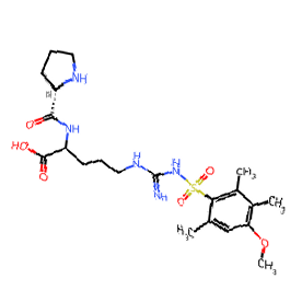 COc1cc(C)c(S(=O)(=O)NC(=N)NCCCC(NC(=O)[C@@H]2CCCN2)C(=O)O)c(C)c1C